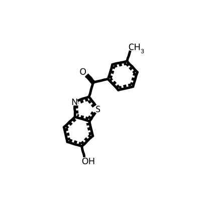 Cc1cccc(C(=O)c2nc3ccc(O)cc3s2)c1